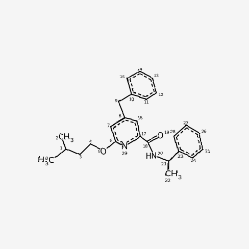 CC(C)CCOc1cc(Cc2ccccc2)cc(C(=O)NC(C)c2ccccc2)n1